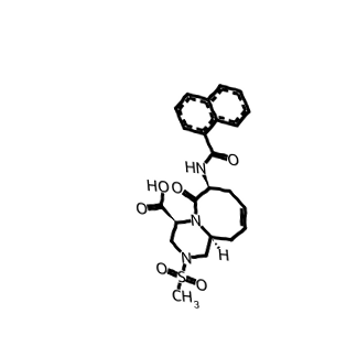 CS(=O)(=O)N1C[C@@H]2CC=CC[C@H](NC(=O)c3cccc4ccccc34)C(=O)N2[C@H](C(=O)O)C1